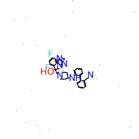 N#Cc1ccccc1-c1ccccc1NC1CCN(CC(O)(Cn2cncn2)c2ccc(F)cc2F)CC1